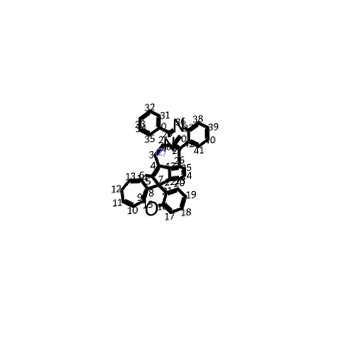 C=C/C=C\C1=C(C)C2(C3=C(C=CCC=C3)Oc3ccccc32)c2cccc(-c3nc(-c4ccccc4)nc4ccccc34)c21